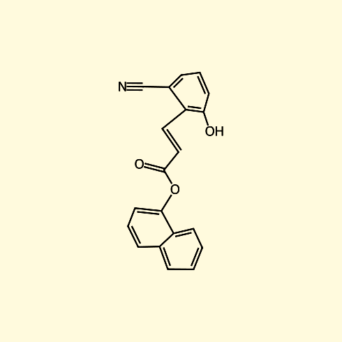 N#Cc1cccc(O)c1C=CC(=O)Oc1cccc2ccccc12